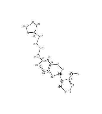 COc1cccnc1N1CCc2nc(OCCCN3CCCC3)ccc2C1